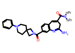 CCCN(CCC)C(=O)C1=Cc2ccc(C(=O)N3CC4(CCN(c5ccccc5)CC4)C3)cc2N=C(N)C1